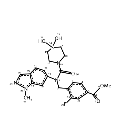 COC(=O)c1ccc(CN(C(=O)N2CCS(O)(O)CC2)c2ccc3cnn(C)c3c2)c(F)c1